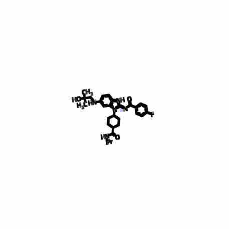 CC(C)NC(=O)[C@H]1CC[C@@H](n2/c(=N/C(=O)c3ccc(F)cc3)[nH]c3ccc(NCC(C)(C)O)cc32)CC1